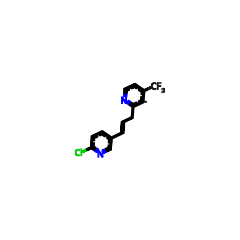 FC(F)(F)c1[c]c(CC=Cc2ccc(Cl)nc2)ncc1